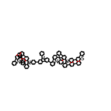 c1ccc(-c2ccc(-c3ccccc3N(c3ccc(-c4ccc5c6cc(-c7cccc8c7c7cccc9c7n8-c7ccccc7C97c8ccccc8-c8ccc(N(c9ccc(-c%10ccc%11sc%12ccccc%12c%11c%10)cc9)c9ccccc9-c9ccc(-c%10ccccc%10)cc9)cc87)ccc6n(-c6ccccc6)c5c4)cc3)c3ccc4c(c3)C3(c5ccccc5-4)c4ccccc4-n4c5ccccc5c5cccc3c54)cc2)cc1